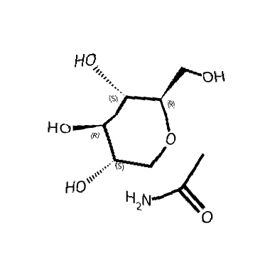 CC(N)=O.OC[C@H]1OC[C@H](O)[C@@H](O)[C@@H]1O